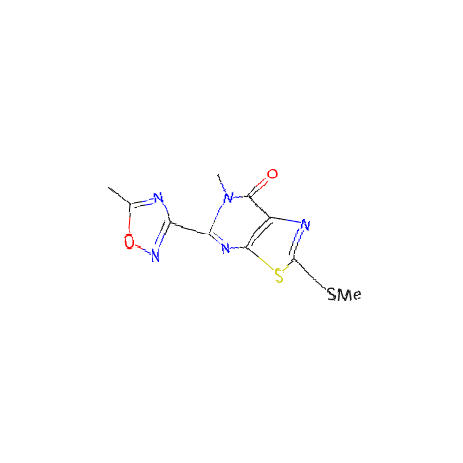 CSc1nc2c(=O)n(C)c(-c3noc(C)n3)nc2s1